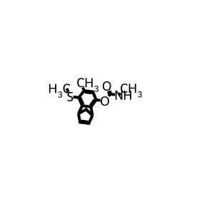 CNC(=O)Oc1cc(C)c(SC)c2c1C1C=CC2C1